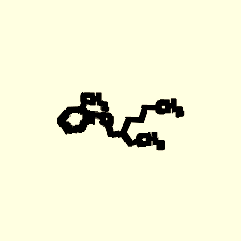 CCCCC(CC)CO[n+]1ccccc1C